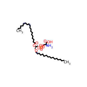 CCCCC/C=C\C/C=C\CCCCCCCCCC(=O)O[C@H](CO/C=C\CCCCCCCCCCCCCCCC)COP(=O)(O)OC[C@H](N)C(=O)O